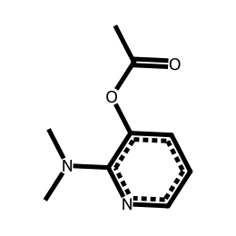 CC(=O)Oc1cccnc1N(C)C